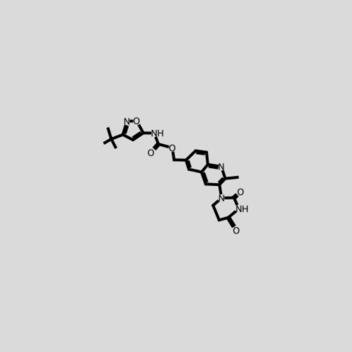 Cc1nc2ccc(COC(=O)Nc3cc(C(C)(C)C)no3)cc2cc1N1CCC(=O)NC1=O